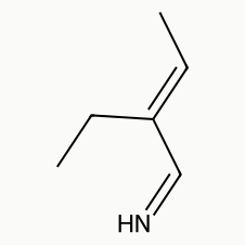 C/C=C(/C=N)CC